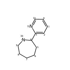 c1ccc(C2CCCCC[N]2)nc1